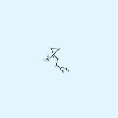 CCCC1(S)CC1